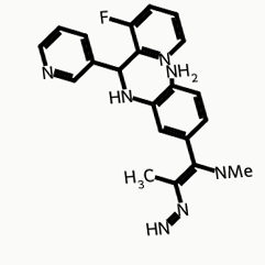 CN/C(=C(/C)N=N)c1ccc(N)c(NC(c2cccnc2)c2ncccc2F)c1